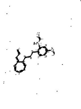 C=C/C=C1/C=CC=CC=C1CCCc1ccc(OC)cc1NC=O